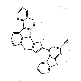 N#Cc1nc(-c2cc3c(s2)-n2c4ccc5ccccc5c4c4cccc(c42)O3)c2c(n1)oc1ccccc12